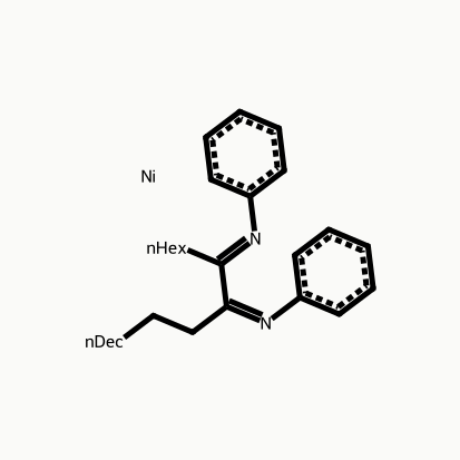 CCCCCCCCCCCCC(=Nc1ccccc1)C(CCCCCC)=Nc1ccccc1.[Ni]